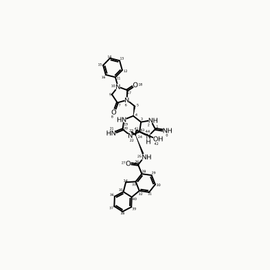 N=C1NC2[C@H](CN3C(=O)CN(c4ccccc4)C3=O)NC(=N)N3C[C@H](NC(=O)c4cccc5c4Cc4ccccc4-5)C(O)C23N1